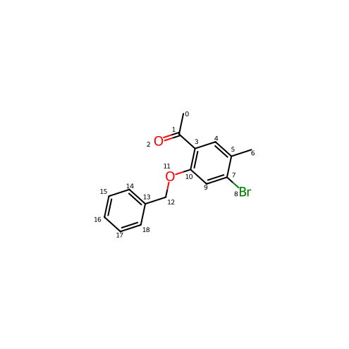 CC(=O)c1cc(C)c(Br)cc1OCc1ccccc1